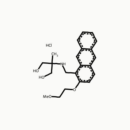 COCCOc1ccc2cc3ccccc3cc2c1CNC(C)(CO)CO.Cl